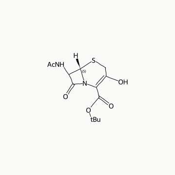 CC(=O)NC1C(=O)N2C(C(=O)OC(C)(C)C)=C(O)CS[C@@H]12